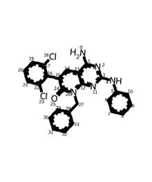 Nc1nc(Nc2ccccc2)nc2c1cc(-c1c(Cl)cccc1Cl)c(=O)n2Cc1ccccc1